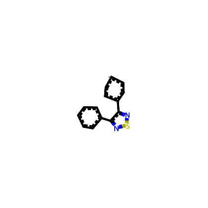 [c]1ccc(-c2nsnc2-c2ccccc2)cc1